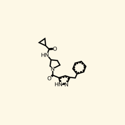 O=C(NC1CCN(C(=O)c2cc(Cc3ccccc3)n[nH]2)C1)C1CC1